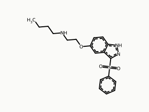 CCCCNCCOc1ccc2[nH]nc(S(=O)(=O)c3ccccc3)c2c1